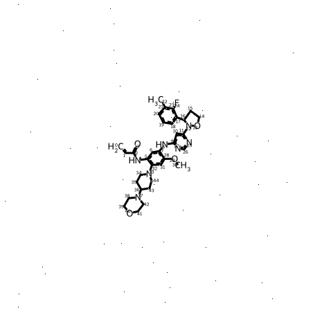 C=CC(=O)Nc1cc(Nc2cc(N3OCCC3c3cccc(C)c3F)ncn2)c(OC)cc1N1CCC(N2CCOCC2)CC1